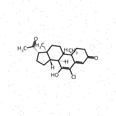 CC(=O)[C@H]1CC[C@H]2[C@@H]3C(O)=C(Cl)C4=CC(=O)CC[C@]4(C)[C@H]3CC[C@]12C